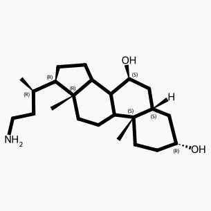 C[C@H](CCN)[C@H]1CCC2C3C(CC[C@@]21C)[C@@]1(C)CC[C@@H](O)C[C@H]1C[C@@H]3O